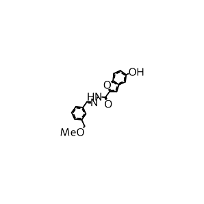 COCc1cccc(/C=N/NC(=O)c2cc3cc(O)ccc3o2)c1